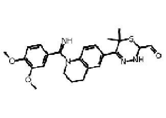 COc1ccc(C(=N)N2CCCc3cc(C4=NNC(C=O)SC4(C)C)ccc32)cc1OC